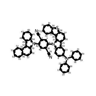 N#Cc1cc(-n2c3ccc(N(c4ccccc4)c4ccccc4)cc3c3ccc4sc5ccccc5c4c32)c(C#N)cc1-n1c2ccccc2c2c3ccccc3ccc21